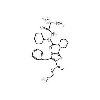 CCOC(=O)c1nc(C2CCCCN2C(=O)[C@@H](NC(=O)[C@H](C)N)C2CCCCC2)sc1Cc1ccccc1